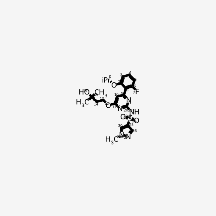 CC(C)Oc1cccc(F)c1-c1cc(OCCC(C)(C)O)nc(NS(=O)(=O)c2cnn(C)c2)n1